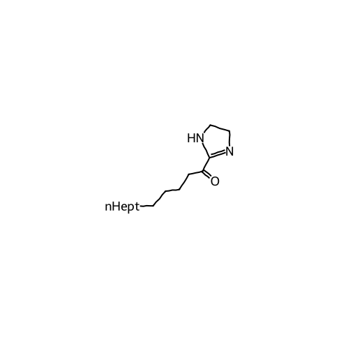 CCCCCCCCCCCC(=O)C1=NCCN1